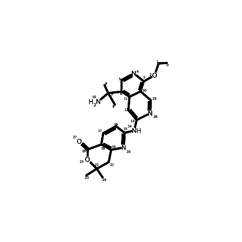 CCOc1ncc(C(C)(C)N)c2cc(Nc3ccc4c(n3)CC(C)(C)OC4=O)ncc12